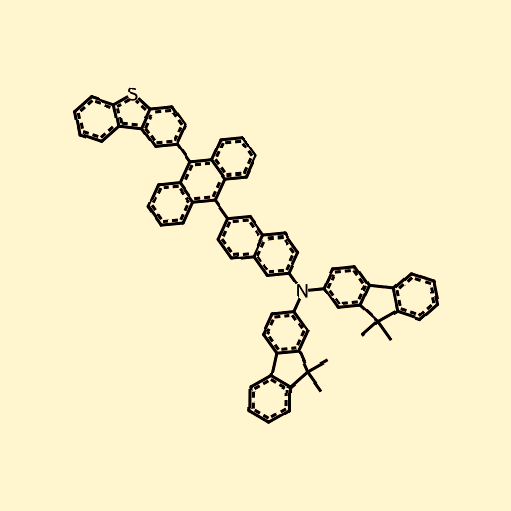 CC1(C)c2ccccc2-c2ccc(N(c3ccc4c(c3)C(C)(C)c3ccccc3-4)c3ccc4cc(-c5c6ccccc6c(-c6ccc7sc8ccccc8c7c6)c6ccccc56)ccc4c3)cc21